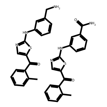 Cc1ccccc1C(=O)c1cnc(Nc2cccc(C(N)=O)c2)s1.Cc1ccccc1C(=O)c1cnc(Nc2cccc(CN)c2)s1